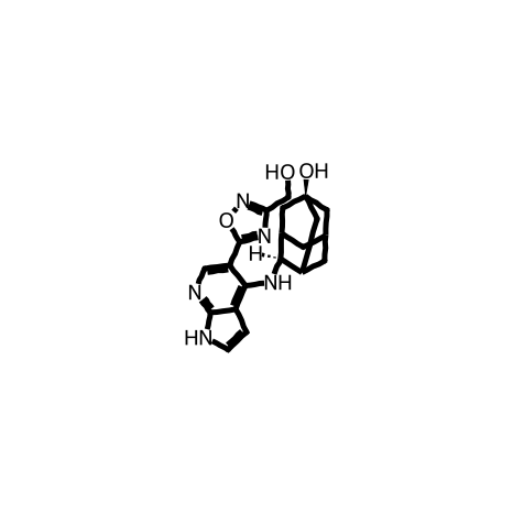 OCc1noc(-c2cnc3[nH]ccc3c2N[C@H]2C3CC4CC2C[C@@](O)(C4)C3)n1